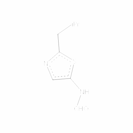 CC(C)Cc1ncc(NC=O)s1